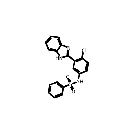 O=S(=O)(Nc1ccc(Cl)c(-c2nc3ccccc3[nH]2)c1)c1ccccc1